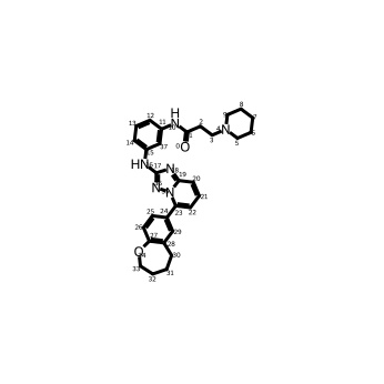 O=C(CCN1CCCCC1)Nc1cccc(Nc2nc3cccc(-c4ccc5c(c4)CCCCO5)n3n2)c1